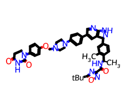 Cc1cc(-c2n[nH]c3ncc(-c4ccc(N5CCN(COc6ccc(N7CCC(=O)NC7=O)cc6)CC5)cc4)cc23)ccc1[C@@H](C)NC(=O)c1noc(C(C)(C)C)n1